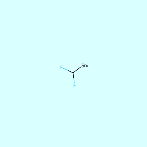 F[CH](F)[Sn]